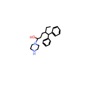 CCC(CCC(O)N1CCNCC1)C(c1ccccc1)c1ccccc1